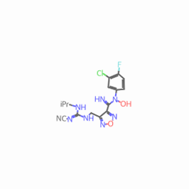 CC(C)N/C(=N\C#N)NCc1nonc1C(=N)N(O)c1ccc(F)c(Cl)c1